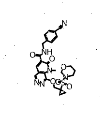 Cn1c(=O)c(C(=O)NCc2ccc(C#N)cc2)cc2cnnc(OCC3(S(=O)(=O)N4CCCOC4)CC3)c21